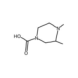 CC1CN(C(=O)O)CCN1C